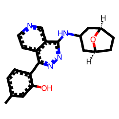 Cc1ccc(-c2nnc(NC3C[C@H]4CC[C@@H](C3)O4)c3cnccc23)c(O)c1